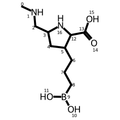 CNCC1CC(CCCB(O)O)C(C(=O)O)N1